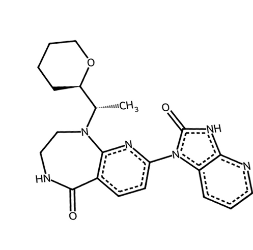 C[C@@H]([C@H]1CCCCO1)N1CCNC(=O)c2ccc(-n3c(=O)[nH]c4ncccc43)nc21